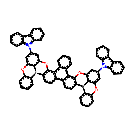 c1ccc2c(c1)Oc1cc(-n3c4ccccc4c4ccccc43)cc3c1B2c1ccc2c4ccc5c(c4c4ccccc4c2c1O3)Oc1cc(-n2c3ccccc3c3ccccc32)cc2c1B5c1ccccc1O2